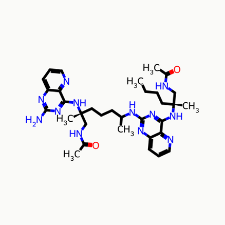 CCCC[C@](C)(CNC(C)=O)Nc1nc(NC(C)CCC[C@](C)(CNC(C)=O)Nc2nc(N)nc3cccnc23)nc2cccnc12